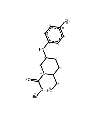 CC(C)(C)OC(=O)N1CC(Nc2ccc(C(F)(F)F)cc2)CCC1CO